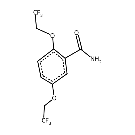 NC(=O)c1cc(OCC(F)(F)F)ccc1OCC(F)(F)F